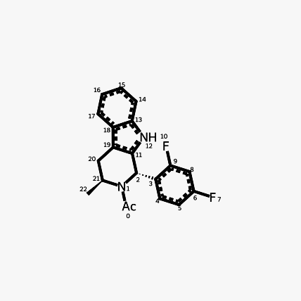 CC(=O)N1[C@@H](c2ccc(F)cc2F)c2[nH]c3ccccc3c2C[C@@H]1C